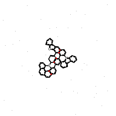 C1=CC(N(c2ccccc2-c2ccc(-c3ccccc3-n3c4ccccc4c4ccccc43)cc2)c2cccc3ccc4ccccc4c23)CC=C1c1cccc2c1oc1ccccc12